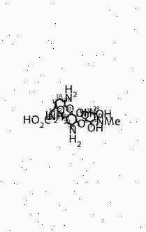 CN[C@@H]1[C@@H](O)[C@@H](O[C@@H]2[C@@H](O)[C@H](O[C@H]3OC(CNC(=O)O)=CC[C@H]3N)[C@@H](N)C[C@H]2N)OC[C@]1(C)O